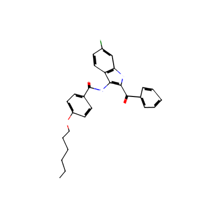 CCCCCCOc1ccc(C(=O)Nc2c(C(=O)c3ccccc3)[nH]c3cc(Cl)ccc23)cc1